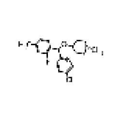 Cc1ccc(C(OC2CCN(C)CC2)c2ccc(Cl)cn2)c(F)c1